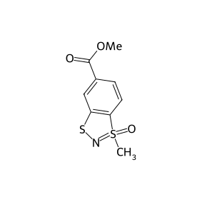 COC(=O)c1ccc2c(c1)SN=S2(C)=O